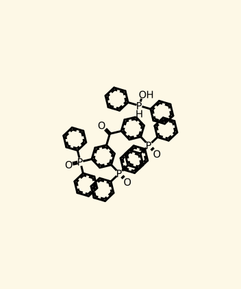 O=C(c1cc(P(=O)(c2ccccc2)c2ccccc2)cc(P(=O)(c2ccccc2)c2ccccc2)c1)c1cc(P(=O)(c2ccccc2)c2ccccc2)cc([PH](O)(c2ccccc2)c2ccccc2)c1